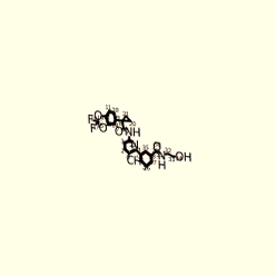 Cc1ccc(NC(=O)C2(c3ccc4c(c3)OC(F)(F)O4)CC2)nc1-c1cccc(C(=O)NCCO)c1